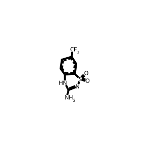 NC1=NS(=O)(=O)c2cc(C(F)(F)F)ccc2N1